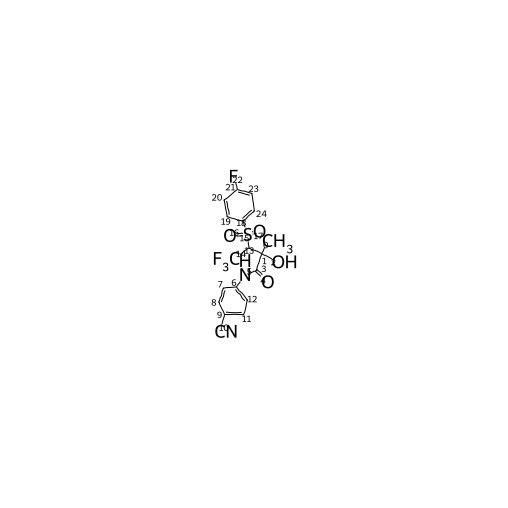 CC(O)(C(=O)Nc1ccc(C#N)cc1)C(C(F)(F)F)S(=O)(=O)c1ccc(F)cc1